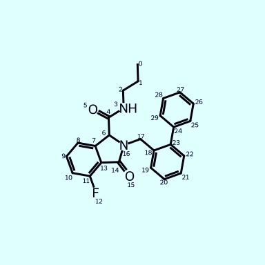 CCCNC(=O)C1c2cccc(F)c2C(=O)N1Cc1ccccc1-c1ccccc1